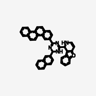 C1=Cc2oc3ccccc3c2C(C2=NC(c3ccc4ccc5c6ccccc6ccc5c4c3)=NC(c3ccc4ccccc4c3)N2)N1